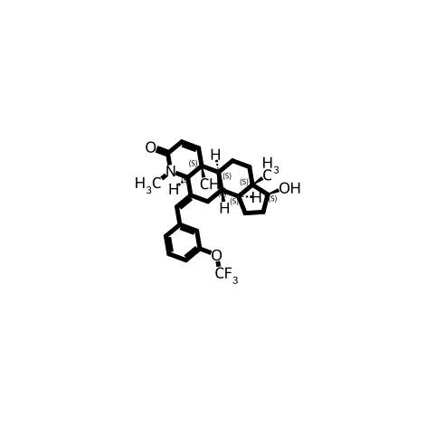 CN1C(=O)C=C[C@]2(C)[C@H]3CC[C@]4(C)[C@@H](O)CC[C@H]4[C@@H]3CC(=Cc3cccc(OC(F)(F)F)c3)[C@@H]12